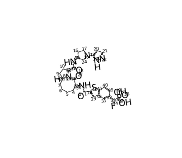 O=C(N[C@H]1CCCC[C@H]2CC[C@@H](C(=O)N[C@@H]3CCN(c4ccn[nH]4)C3)N2C1=O)c1cc2cc(C(F)P(=O)(O)O)ccc2s1